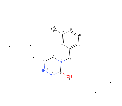 OC1NNCCN1Cc1cccc(C(F)(F)F)c1